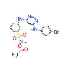 CN(OC(=O)C(F)(F)F)S(=O)(=O)c1cccc(Nc2cc(Nc3ccc(Br)cc3)ncn2)c1